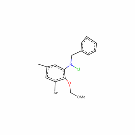 COCOc1c(C(C)=O)cc(C)cc1N(Cl)Cc1ccccc1